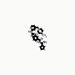 CN1CCN(Cc2ccnc(Nc3nc4ccc(C(=O)NC(=N)C5CCCC5)cc4[nH]3)c2)CC1